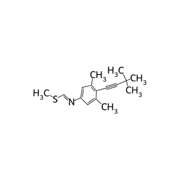 CSC=Nc1cc(C)c(C#CC(C)(C)C)c(C)c1